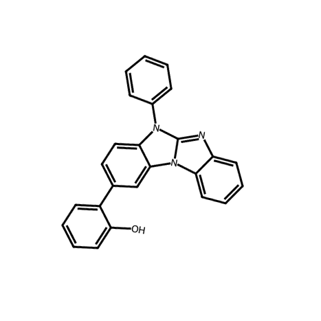 Oc1ccccc1-c1ccc2c(c1)n1c3ccccc3nc1n2-c1ccccc1